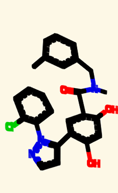 Cc1cccc(CN(C)C(=O)c2cc(-c3ccnn3-c3ccccc3Cl)c(O)cc2O)c1